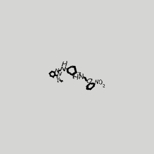 CN(C)c1nc(N[C@H]2CC[C@@H](CNCCOc3ccccc3[N+](=O)[O-])CC2)nc2ccccc12